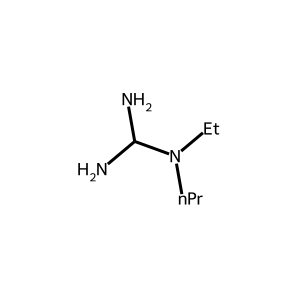 CCCN(CC)C(N)N